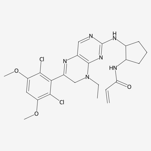 C=CC(=O)NC1CCCC1Nc1ncc2c(n1)N(CC)CC(c1c(Cl)c(OC)cc(OC)c1Cl)=N2